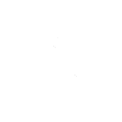 C=Nc1ccc(N(C)C(C)=O)cc1